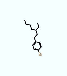 CCCCC(CC)CCc1ccc(Br)cc1